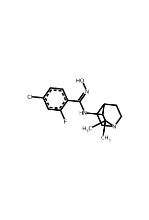 CC1(C)C(NC(=NO)c2ccc(Cl)cc2F)C2CCN1CC2